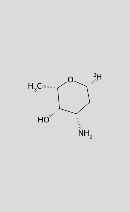 [2H][C@@H]1C[C@H](N)[C@H](O)[C@H](C)O1